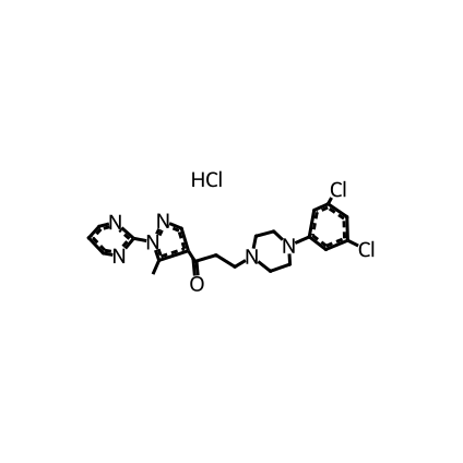 Cc1c(C(=O)CCN2CCN(c3cc(Cl)cc(Cl)c3)CC2)cnn1-c1ncccn1.Cl